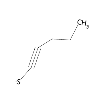 CCCC#C[S]